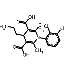 CCCC1C(C(=O)O)=C(C)N(c2cccc(Cl)c2Cl)C(C)=C1C(=O)O